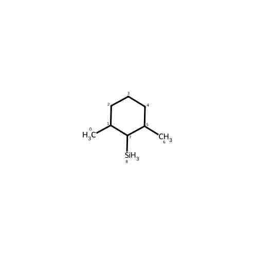 CC1CCCC(C)C1[SiH3]